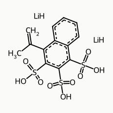 C=C(C)c1c(S(=O)(=O)O)c(S(=O)(=O)O)c(S(=O)(=O)O)c2ccccc12.[LiH].[LiH]